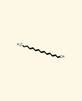 [CH]=CC=CC=CC=CC=CC=CCCC